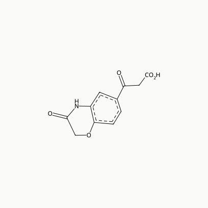 O=C(O)CC(=O)c1ccc2c(c1)NC(=O)CO2